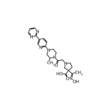 C/C(=N\O)C1(C(=O)O)CCN(CC(=O)N2CCN(c3ccc(-c4ncccn4)cn3)CC2C)C1